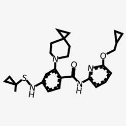 CC1(SNc2ccc(C(=O)Nc3cccc(OCC4CC4)n3)c(N3CCC4(CC3)CC4)c2)CC1